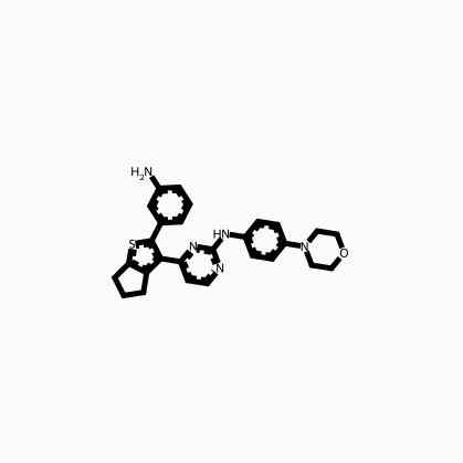 Nc1cccc(-c2sc3c(c2-c2ccnc(Nc4ccc(N5CCOCC5)cc4)n2)CCC3)c1